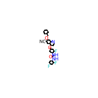 N#Cc1cc2c(Oc3ccc(NC(=O)Nc4ccc(F)cc4F)c(F)c3)ccnc2cc1OCc1ccccc1